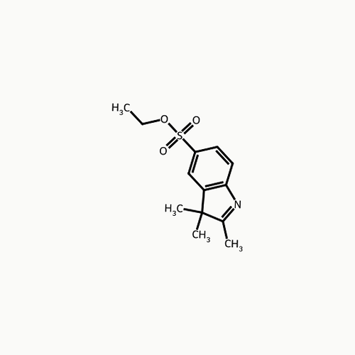 CCOS(=O)(=O)c1ccc2c(c1)C(C)(C)C(C)=N2